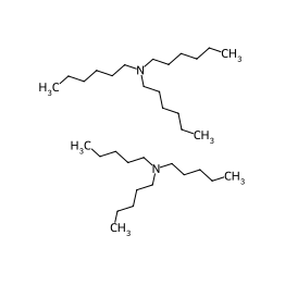 CCCCCCN(CCCCCC)CCCCCC.CCCCCN(CCCCC)CCCCC